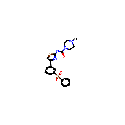 CN1CCN(C(=O)Nc2nc(-c3cccc(S(=O)(=O)c4ccccc4)c3)cs2)CC1